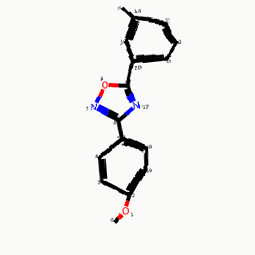 COc1ccc(-c2noc(-c3cccc(C)c3)n2)cc1